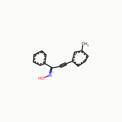 Cc1cccc(C#C/C(=N/O)c2ccccc2)c1